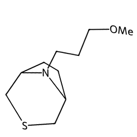 COCCCN1C2CCC1CSC2